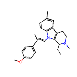 CCC1c2c(c3cc(C)ccc3n2/C=C(\C)c2ccc(OC)cc2)CCN1C